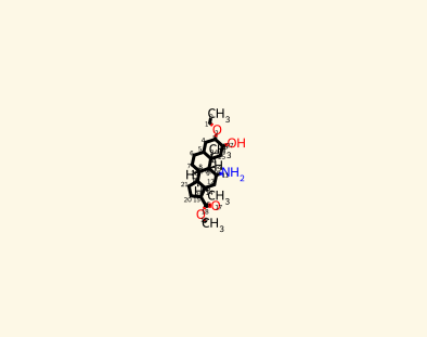 CCOC1CC2CC[C@@H]3[C@@H](C(N)C[C@]4(C)C(C(=O)OC)CC[C@@H]34)[C@@]2(C)CC1O